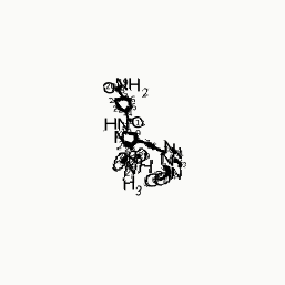 COc1cn2c(C#Cc3cc(NC(=O)c4ccc(C(N)=O)cc4)ncc3S(N)(=O)=O)nnc2cn1